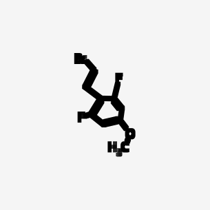 COc1cc(F)c(C=CBr)c(F)c1